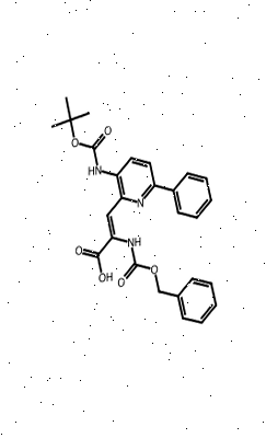 CC(C)(C)OC(=O)Nc1ccc(-c2ccccc2)nc1C=C(NC(=O)OCc1ccccc1)C(=O)O